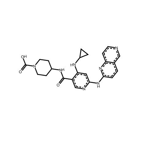 O=C(NC1CCN(C(=O)O)CC1)c1cnc(Nc2ccc3cnccc3n2)cc1NC1CC1